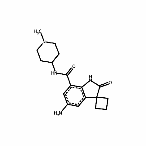 CN1CCC(NC(=O)c2cc(N)cc3c2NC(=O)C32CCC2)CC1